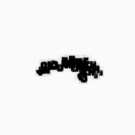 Cn1c(Nc2nn(C3CCOC3)c(C(C)(C)C)c2F)nc2ncc(Oc3ccnc(NC(=O)C4CC4)c3)cc21